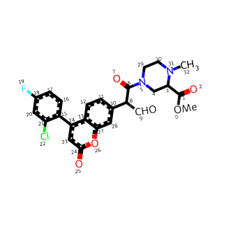 COC(=O)C1CN(C(=O)C(C=O)c2ccc3c(-c4ccc(F)cc4Cl)cc(=O)oc3c2)CCN1C